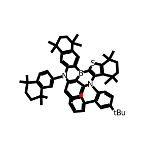 Cc1cc2c3c(c1)N(c1ccc(C(C)(C)C)cc1-c1ccccc1)c1c(sc4c1C(C)(C)CCC4(C)C)B3c1cc3c(cc1N2c1ccc2c(c1)C(C)(C)CCC2(C)C)C(C)(C)CCC3(C)C